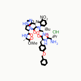 CC[C@H](C)[C@H](NC(=O)[C@H](Cc1ccc(OCc2ccccc2)cc1)NC(=O)[C@@H](N)C(C)C)C(=O)N(c1cccc([N+](=O)[O-])c1[N+](=O)[O-])[C@@H](Cc1c[nH]cn1)C(=O)N1CCC[C@H]1C(=O)N[C@@H](C)C(=O)OC.Cl